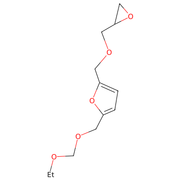 CCOCOCc1ccc(COCC2CO2)o1